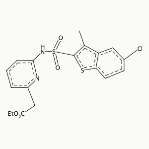 CCOC(=O)Cc1cccc(NS(=O)(=O)c2sc3ccc(Cl)cc3c2C)n1